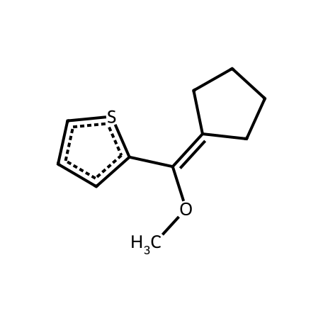 COC(=C1CCCC1)c1cccs1